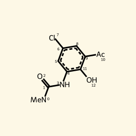 CNC(=O)Nc1cc(Cl)cc(C(C)=O)c1O